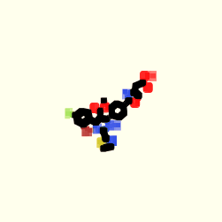 COC(=O)C1=C([C@H]2CC[C@H](c3nc(CC(=O)O)co3)CC2)NC(c2nccs2)=NC1c1ccc(F)cc1Br